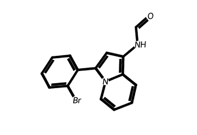 O=CNc1cc(-c2ccccc2Br)n2ccccc12